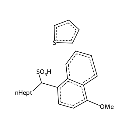 CCCCCCCC(c1ccc(OC)c2ccccc12)S(=O)(=O)O.c1ccsc1